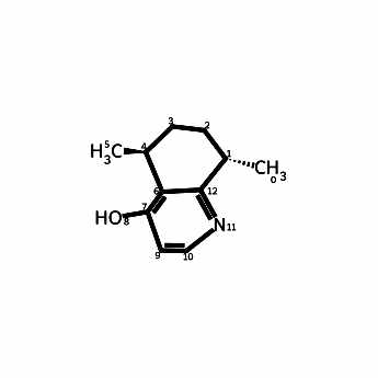 C[C@H]1CC[C@H](C)c2c(O)ccnc21